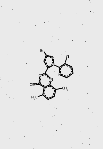 Cc1ccc(C)c2c(=O)oc(-c3cc(Br)nn3-c3ncccc3Cl)nc12